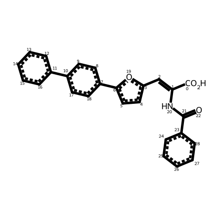 O=C(O)/C(=C/c1ccc(-c2ccc(-c3ccccc3)cc2)o1)NC(=O)c1ccccc1